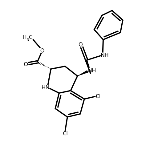 COC(=O)[C@@H]1C[C@@H](NC(=O)Nc2ccccc2)c2c(Cl)cc(Cl)cc2N1